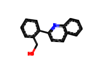 OCc1ccccc1-c1ccc2ccccc2n1